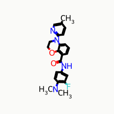 Cc1ccc(N2CCOc3c(C(=O)Nc4ccc(N(C)C)c(F)c4)cccc32)nc1